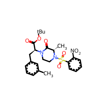 Cc1cccc(C[C@@H](C(=O)OC(C)(C)C)N2CCN(S(=O)(=O)c3ccccc3[N+](=O)[O-])[C@@H](C)C2=O)c1